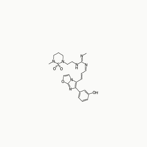 C\N=C(/N=C\C=C\c1c(-c2cccc(O)c2)nc2occn12)NCCN1CCCN(C)S1(=O)=O